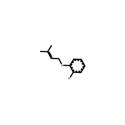 CC(C)=CCOc1ccc[c]c1F